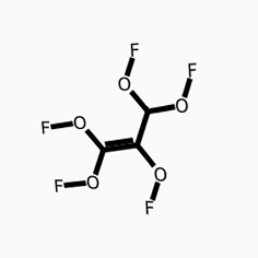 FO[C](OF)C(OF)=C(OF)OF